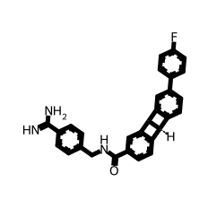 N=C(N)c1ccc(CNC(=O)c2ccc3c(c2)C2c4cc(-c5ccc(F)cc5)ccc4[C@@H]32)cc1